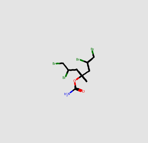 CC(CC(Br)CBr)(CC(Br)CBr)OC(N)=O